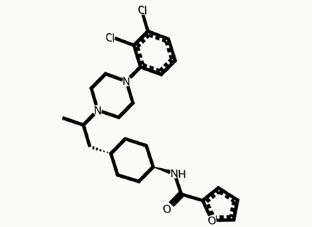 CC(C[C@H]1CC[C@H](NC(=O)c2ccco2)CC1)N1CCN(c2cccc(Cl)c2Cl)CC1